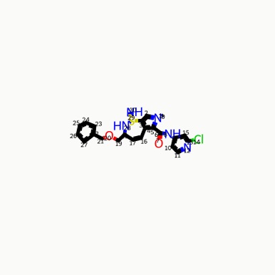 Cn1cc2c(c1C(=O)Nc1ccnc(Cl)c1)C=CC(COCc1ccccc1)NS2=N